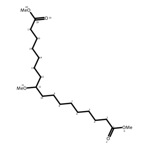 COC(=O)CCCCCCCCC(CCCCCCC(=O)OC)OC